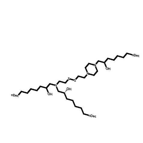 CCCCCCCCCCCCCCCC(O)CN1CCN(CCSSCCN(CC(O)CCCCCCCCCCCCCCC)C[C@H](O)CCCCCCCCCCCCCCC)CC1